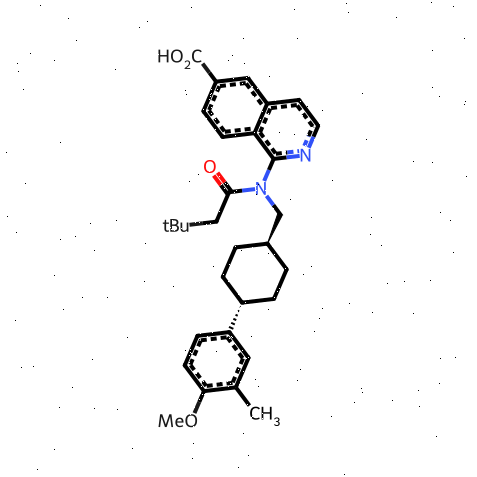 COc1ccc([C@H]2CC[C@H](CN(C(=O)CC(C)(C)C)c3nccc4cc(C(=O)O)ccc34)CC2)cc1C